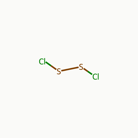 ClSSCl